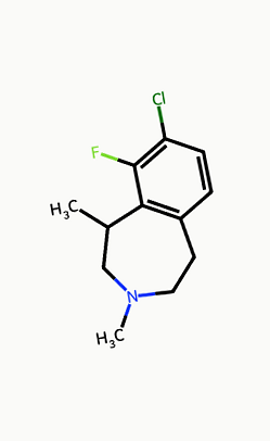 CC1CN(C)CCc2ccc(Cl)c(F)c21